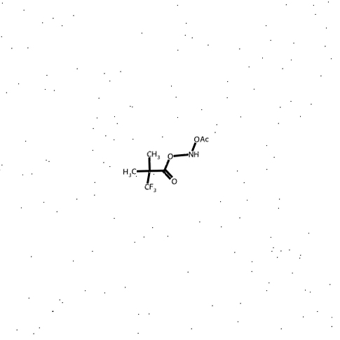 CC(=O)ONOC(=O)C(C)(C)C(F)(F)F